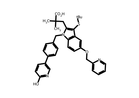 CC(C)(C)Sc1c(CC(C)(C)C(=O)O)n(Cc2ccc(-c3ccc(O)nc3)cc2)c2ccc(OCc3ccccn3)cc12